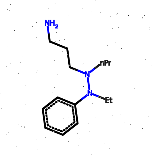 CCCN(CCCN)N(CC)c1ccccc1